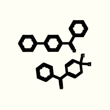 O=C(C1=CCC(Cl)(Cl)C=C1)c1ccccc1.O=C(c1ccccc1)c1ccc(-c2ccccc2)cc1